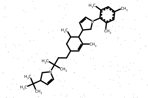 CC1=CC(CCC(C)(C)N2C=CC(C(C)(C)C)C2)CC(C)C1C1C=CN(c2c(C)cc(C)cc2C)C1